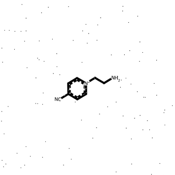 N#Cc1cc[n+](CCN)cc1